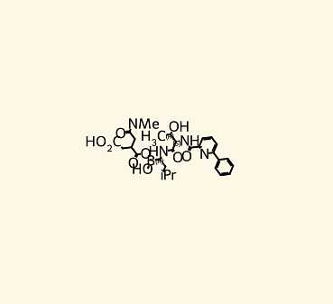 CNC(=O)CC(CC(=O)O)C(=O)OB(O)[C@H](CC(C)C)NC(=O)[C@@H](NC(=O)c1cccc(-c2ccccc2)n1)[C@@H](C)O